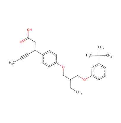 CC#CC(CC(=O)O)c1ccc(OCC(CC)COc2cccc(C(C)(C)C)c2)cc1